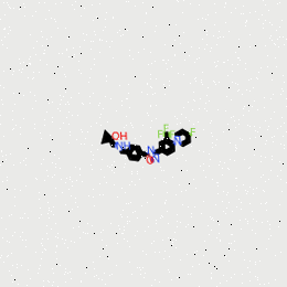 OC1(CNCc2ccc(-c3nc(-c4ccc(N5CCC(F)CC5)c(C(F)(F)F)c4)no3)cc2)CC1